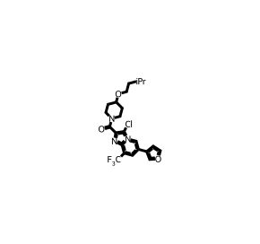 CC(C)CCOC1CCN(C(=O)c2nc3c(C(F)(F)F)cc(-c4ccoc4)cn3c2Cl)CC1